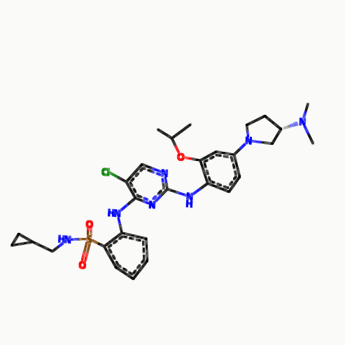 CC(C)Oc1cc(N2CC[C@H](N(C)C)C2)ccc1Nc1ncc(Cl)c(Nc2ccccc2S(=O)(=O)NCC2CC2)n1